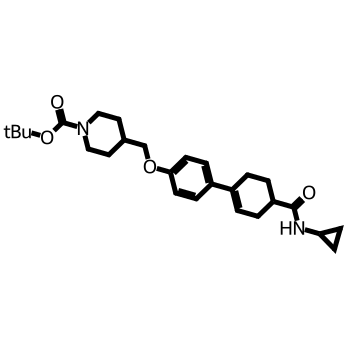 CC(C)(C)OC(=O)N1CCC(COc2ccc(C3=CCC(C(=O)NC4CC4)CC3)cc2)CC1